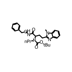 CCCN(C(=O)OC(C)(C)C)C(CCc1nc2ccccc2n1C)C(=O)NOCc1ccccc1